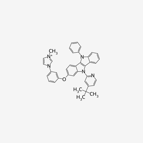 C[n+]1ccn(-c2cccc(Oc3ccc4c(c3)n(-c3cc(C(C)(C)C)ccn3)c3c5ccccc5n(-c5ccccc5)c43)c2)c1